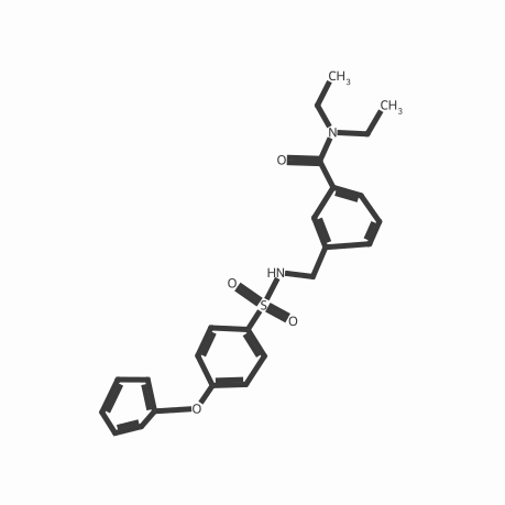 CCN(CC)C(=O)c1cccc(CNS(=O)(=O)c2ccc(Oc3ccccc3)cc2)c1